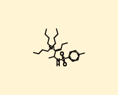 CC/C=[C](/C(C)NS(=O)(=O)c1ccc(C)cc1)[Sn]([CH2]CCC)([CH2]CCC)[CH2]CCC